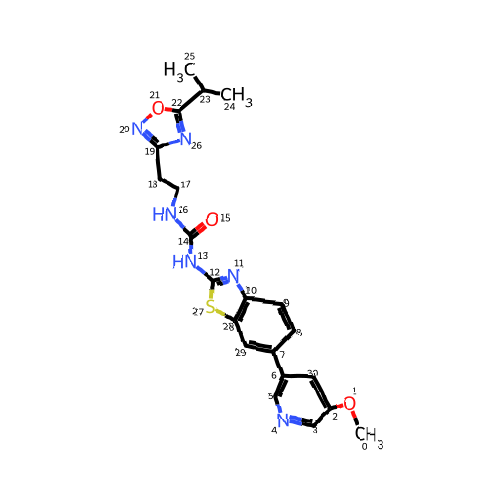 COc1cncc(-c2ccc3nc(NC(=O)NCCc4noc(C(C)C)n4)sc3c2)c1